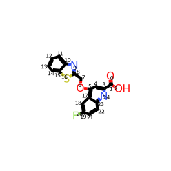 O=C(O)c1cc(OCc2nc3ccccc3s2)c2cc(F)ccc2n1